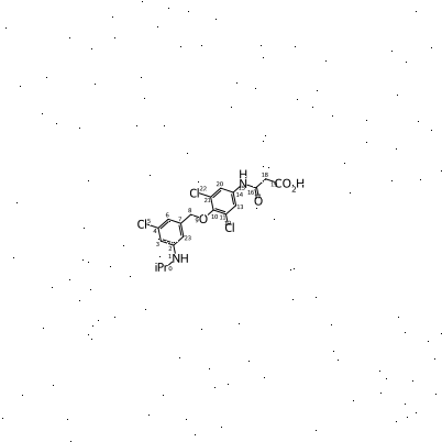 CC(C)Nc1cc(Cl)cc(COc2c(Cl)cc(NC(=O)CC(=O)O)cc2Cl)c1